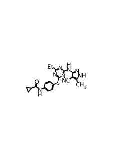 CCc1nc(Nc2n[nH]c(C)c2C#N)nc(Sc2ccc(NC(=O)C3CC3)cc2)n1